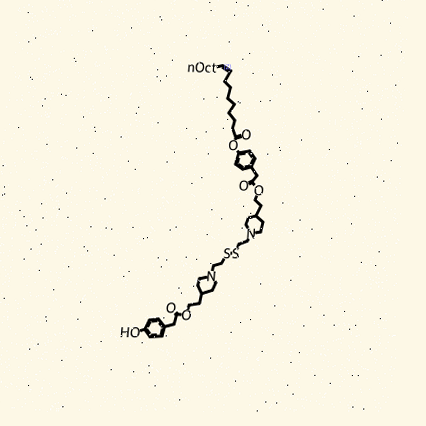 CCCCCCCC/C=C\CCCCCCCC(=O)Oc1ccc(CC(=O)OCCC2CCN(CCSSCCN3CCC(CCOC(=O)Cc4ccc(O)cc4)CC3)CC2)cc1